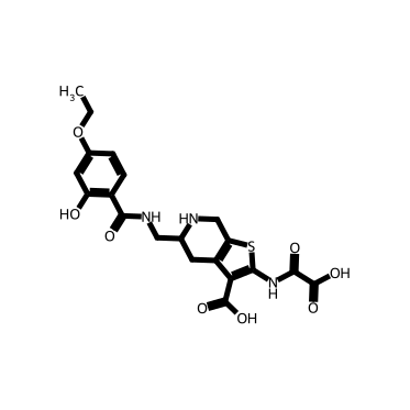 CCOc1ccc(C(=O)NCC2Cc3c(sc(NC(=O)C(=O)O)c3C(=O)O)CN2)c(O)c1